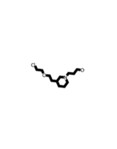 [O]CCCN1CCCC(CCOCCCl)C1